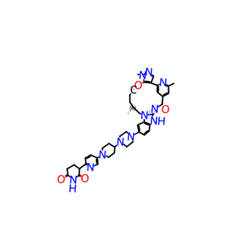 Cc1cc2cc(n1)-c1cnn(C)c1OCCC[C@@H](C)CN1/C(=N/C2=O)Nc2ccc(N3CCN(C4CCN(c5ccc(C6CCC(=O)NC6=O)nc5)CC4)CC3)cc21